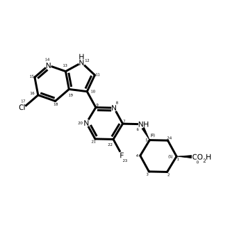 O=C(O)[C@H]1CCC[C@@H](Nc2nc(-c3c[nH]c4ncc(Cl)cc34)ncc2F)C1